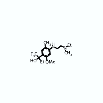 CCN(C)CCNc1cc(OC)c(C(O)(CC)C(F)(F)F)cc1C